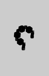 O=C=Nc1ccc(Oc2ccc(Cc3ccc(Oc4ccc(N=C=O)cc4)cc3)cc2)cc1